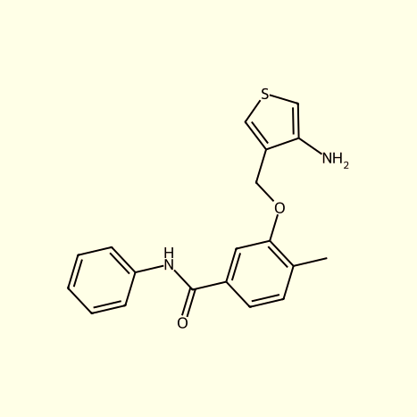 Cc1ccc(C(=O)Nc2ccccc2)cc1OCc1cscc1N